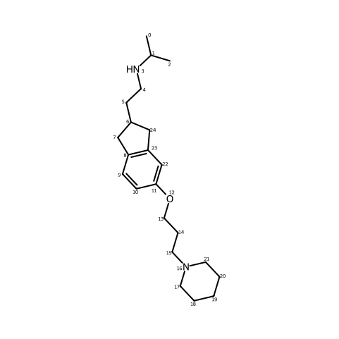 CC(C)NCCC1Cc2ccc(OCCCN3CCCCC3)cc2C1